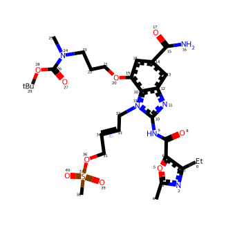 CCc1nc(C)oc1C(=O)Nc1nc2cc(C(N)=O)cc(OCCCN(C)C(=O)OC(C)(C)C)c2n1C/C=C/COS(C)(=O)=O